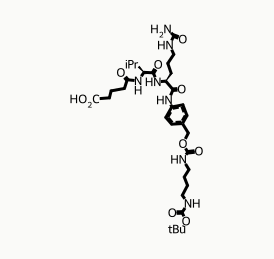 CC(C)[C@H](NC(=O)CCCC(=O)O)C(=O)N[C@@H](CCCNC(N)=O)C(=O)Nc1ccc(COC(=O)NCCCCNC(=O)OC(C)(C)C)cc1